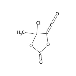 CC1(Cl)OS(=O)OC1=C=O